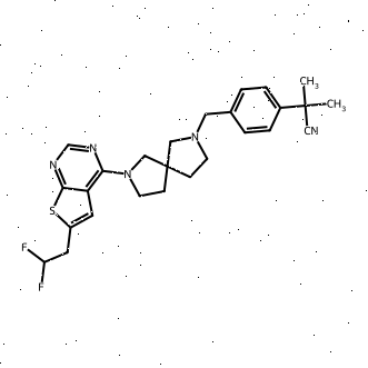 CC(C)(C#N)c1ccc(CN2CCC3(CCN(c4ncnc5sc(CC(F)F)cc45)C3)C2)cc1